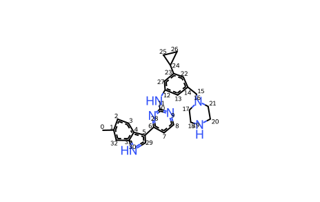 Cc1ccc2c(-c3ccnc(Nc4cc(CN5CCNCC5)cc(C5CC5)c4)n3)c[nH]c2c1